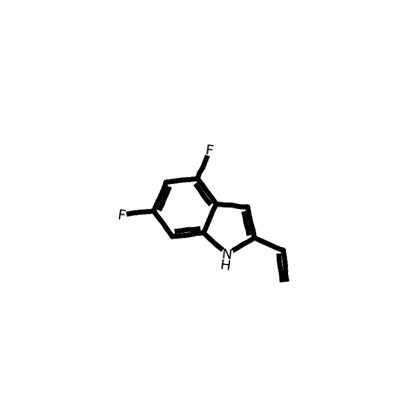 C=Cc1cc2c(F)cc(F)cc2[nH]1